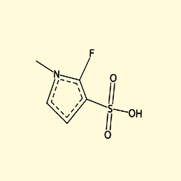 Cn1ccc(S(=O)(=O)O)c1F